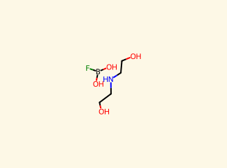 OB(O)F.OCCNCCO